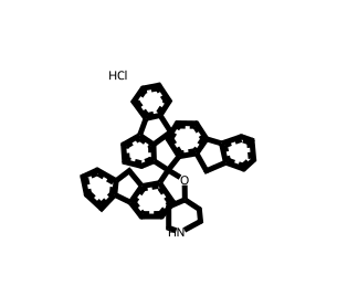 Cl.c1ccc2c(c1)Cc1c-2cccc1C(OC1CCNCC1)(c1cccc2c1Cc1ccccc1-2)c1cccc2c1Cc1ccccc1-2